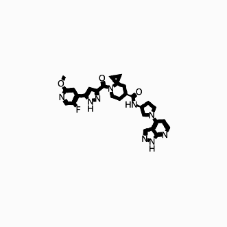 COc1cc(-c2cc(C(=O)N3CC[C@H](C(=O)N[C@H]4CCN(c5ccnc6[nH]ncc56)C4)CC34CC4)n[nH]2)c(F)cn1